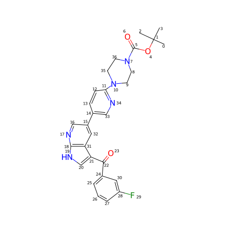 CC(C)(C)OC(=O)N1CCN(c2ccc(-c3cnc4[nH]cc(C(=O)c5cccc(F)c5)c4c3)cn2)CC1